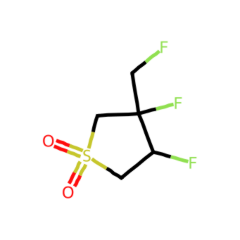 O=S1(=O)CC(F)C(F)(CF)C1